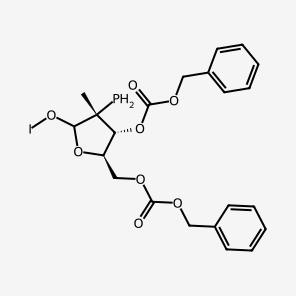 C[C@]1(P)C(OI)O[C@H](COC(=O)OCc2ccccc2)[C@H]1OC(=O)OCc1ccccc1